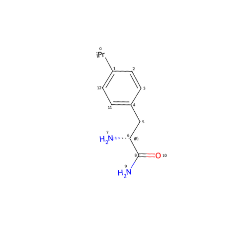 CC(C)c1ccc(C[C@@H](N)C(N)=O)cc1